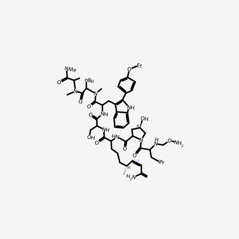 C=C(N)/C=C\[C@H](C)CCCC(NC(=O)C1C[C@@H](O)CN1C(=O)C(CC(C)C)NCON)C(=O)NC(CO)C(=O)NC(Cc1c(-c2ccc(OCC)cc2)[nH]c2ccccc12)C(=O)N(C)C(CCCC)C(=O)N(C)C(C)C(=O)NC